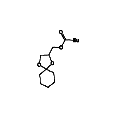 CCC(C)C(=O)OCC1COC2(CCCCC2)O1